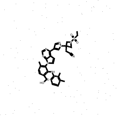 CCS(=O)(=O)N1CC(CC#N)(n2cc(-c3ncnc4c3ccn4-c3c(C)ccc(C(=O)O)c3Nc3cccc(C)c3C)cn2)C1